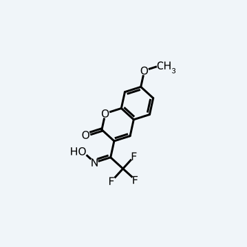 COc1ccc2cc(/C(=N\O)C(F)(F)F)c(=O)oc2c1